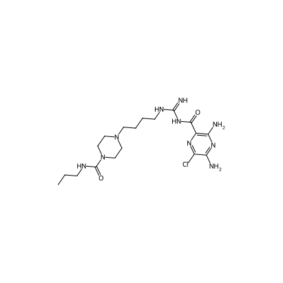 CCCNC(=O)N1CCN(CCCCNC(=N)NC(=O)c2nc(Cl)c(N)nc2N)CC1